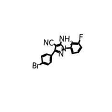 N#Cc1c(-c2ccc(Br)cc2)nn(-c2cccc(F)c2)c1N